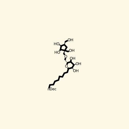 CCCCCCCCCCCCCCCCCCC1O[C@H](COC[C@]2(CO)C[C@H](CO)[C@H](O)C2O)C(O)[C@H](O)[C@@H]1O